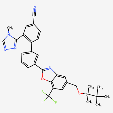 Cn1cnnc1-c1cc(C#N)ccc1-c1cccc(-c2nc3cc(CO[Si](C)(C)C(C)(C)C)cc(C(F)(F)F)c3o2)c1